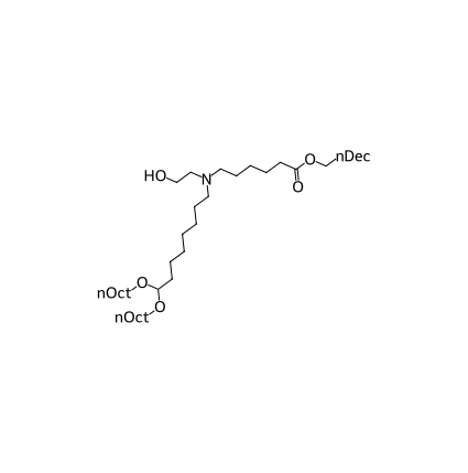 CCCCCCCCCCCOC(=O)CCCCCN(CCO)CCCCCCCC(OCCCCCCCC)OCCCCCCCC